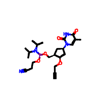 C#CCO[C@@H]1C[C@H](n2cc(C)c(=O)[nH]c2=O)C[C@@H]1COP(OCCC#N)N(C(C)C)C(C)C